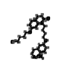 CC(=O)/C=C\c1cc(OCCCCn2c(=O)ccc3ccc(OCCCCCl)cc32)ccc1C